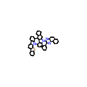 c1ccc(-c2nc3c(ccc4ccccc43)nc2-n2c3cc4ccccc4c4c5cccc6c7ccc8c9ccccc9sc8c7n(c7cccc2c7c43)c65)cc1